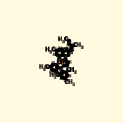 C/C=C/C(C)=C\C(C)=C\B(c1ccc(B(c2c(C)cc(C)cc2C)c2c(C)cc(C)cc2C)s1)c1c(C)cc(C)cc1C